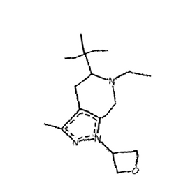 CCN1Cc2c(c(C)nn2C2COC2)CC1C(C)(C)C